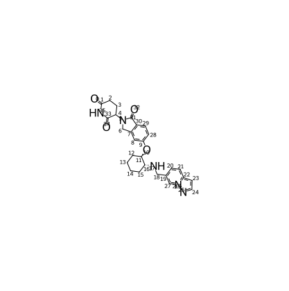 O=C1CCC(N2Cc3cc(O[C@@H]4CCCC[C@H]4NCc4ccc5ccnn5c4)ccc3C2=O)C(=O)N1